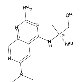 CCCC[C@](C)(CO)Nc1nc(N)nc2cnc(N(C)C)cc12